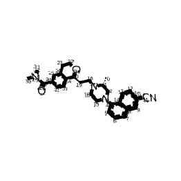 C[C@@H]1CN(c2cccc3cc(C#N)ccc23)CCN1CC[C@@H]1OCCc2cc(C(=O)N(C)C)ccc21